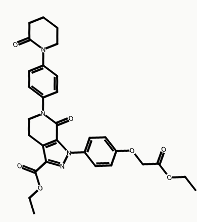 CCOC(=O)COc1ccc(-n2nc(C(=O)OCC)c3c2C(=O)N(c2ccc(N4CCCCC4=O)cc2)CC3)cc1